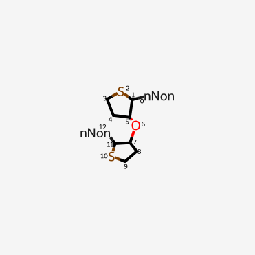 CCCCCCCCCC1SCCC1OC1CCSC1CCCCCCCCC